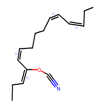 CC/C=C\C=C/CCC/C=C\C(=C/CC)OC#N